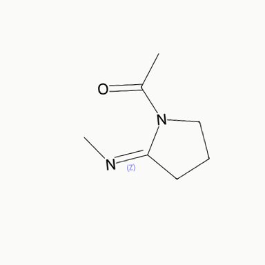 C/N=C1/CCCN1C(C)=O